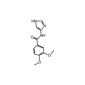 COc1ccc(C(=O)Nc2c[nH]cn2)cc1OC